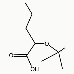 CCCC(OC(C)(C)C)C(=O)O